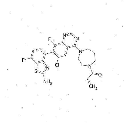 C=CC(=O)N1CCCN(c2ncnc3c(F)c(-c4ccc(F)c5sc(N)nc45)c(Cl)cc23)CC1